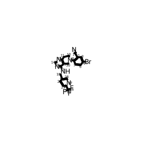 N#Cc1cc(Br)ccc1N1CCc2ncnc(NCc3ccc(C(F)(F)F)nc3)c2C1